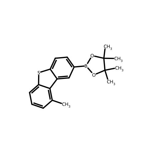 Cc1cccc2sc3ccc(B4OC(C)(C)C(C)(C)O4)cc3c12